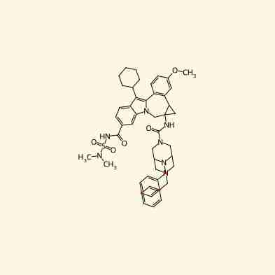 COc1ccc2c(c1)C1CC1(NC(=O)N1CC3CN(Cc4ccccc4)CC(C1)N3Cc1ccccc1)Cn1c-2c(C2CCCCC2)c2ccc(C(=O)NS(=O)(=O)N(C)C)cc21